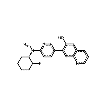 CN(c1ccc(-c2cc3ncccc3cc2O)nn1)[C@@H]1CCCC[C@@H]1F